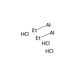 C[CH2][Al].C[CH2][Al].Cl.Cl.Cl